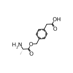 C[C@H](N)C(=O)OCc1ccc(CC(=O)O)cc1